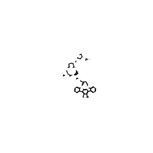 C[C@@H]1OC(OC[C@@H]2CC[C@H]3O[C@H]2O[C@@H]2C[C@@H](C(=O)OC[C@@]4(O)C[C@H]5O[C@]4(C)n4c6ccccc6c6c7c(c8c9ccccc9n5c8c64)C(=O)NC7)N(C2)C(=O)[C@H](NC(N)=S)[C@H](C)O3)[C@H](O)[C@@H]1OC(N)=O